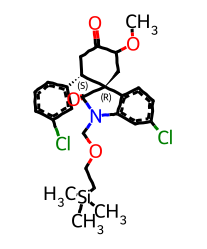 COC1C[C@@]2(C(=O)N(COCC[Si](C)(C)C)c3cc(Cl)ccc32)[C@H](c2cccc(Cl)c2)CC1=O